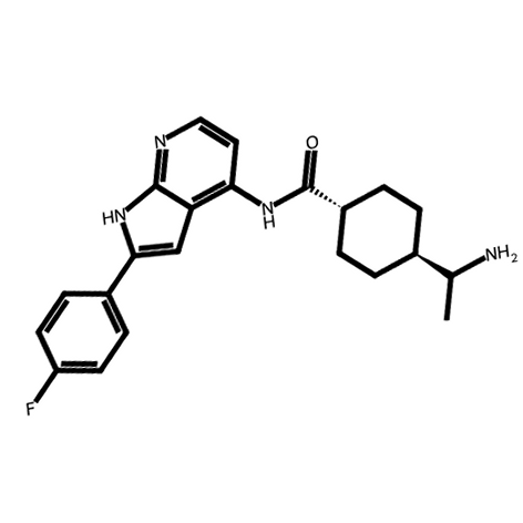 CC(N)[C@H]1CC[C@H](C(=O)Nc2ccnc3[nH]c(-c4ccc(F)cc4)cc23)CC1